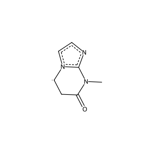 CN1C(=O)C[CH]n2ccnc21